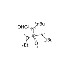 CCCCN(C=O)P(=O)(OCC)SC(C)CC